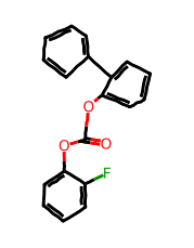 O=C(Oc1ccccc1F)Oc1ccccc1-c1ccccc1